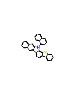 c1ccc2cc3c(cc2c1)c1ccc2c4ccccc4sc2c1n3-c1cccc2ccccc12